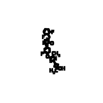 Cc1nc(C2=CC(C)(O)C2)sc1Oc1ccc(-n2ncn(Cc3c(F)cccc3F)c2=O)cc1F